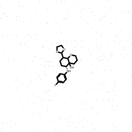 OC12CCCOC1C(C1OCCO1)CC[C@H]2Nc1ccc(F)cc1